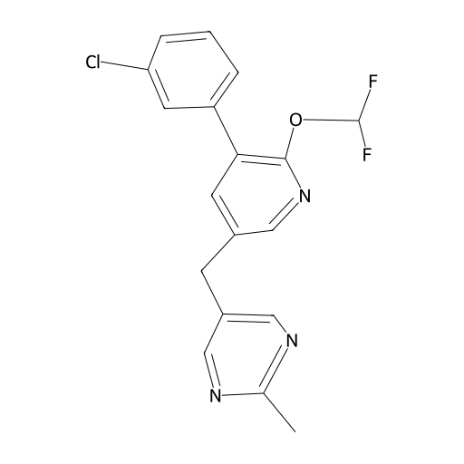 Cc1ncc(Cc2cnc(OC(F)F)c(-c3cccc(Cl)c3)c2)cn1